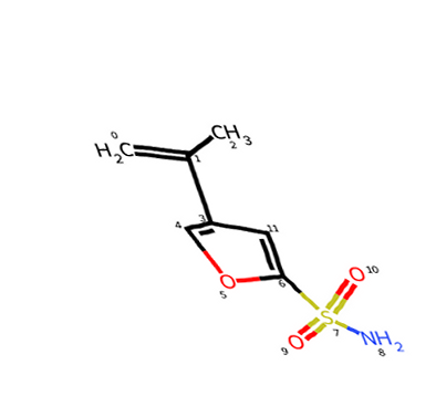 C=C(C)c1coc(S(N)(=O)=O)c1